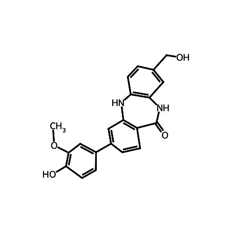 COc1cc(-c2ccc3c(c2)Nc2ccc(CO)cc2NC3=O)ccc1O